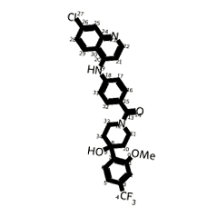 COc1cc(C(F)(F)F)ccc1C1(O)CCN(C(=O)c2ccc(Nc3ccnc4cc(Cl)ccc34)cc2)CC1